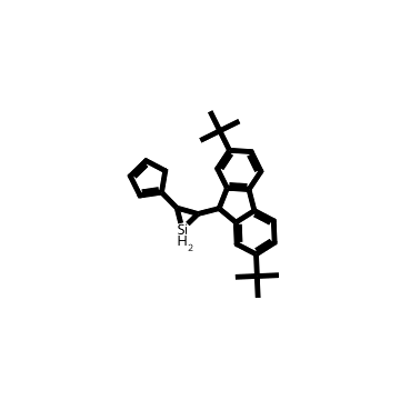 CC(C)(C)c1ccc2c(c1)C(C1[SiH2]C1C1=CC=CC1)c1cc(C(C)(C)C)ccc1-2